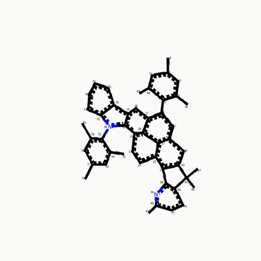 Cc1cc(C)c(-c2cc3cc4c(c5ccc6c(c2cc2c7ccccc7n(-c7c(C)cc(C)cc7C)c26)c35)-c2nc(C)ccc2C4(C)C)c(C)c1